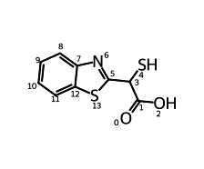 O=C(O)C(S)c1nc2ccccc2s1